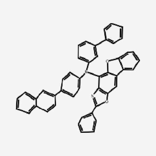 c1ccc(-c2cccc(N(c3ccc(-c4ccc5ccccc5c4)cc3)c3c4nc(-c5ccccc5)oc4cc4c3oc3ccccc34)c2)cc1